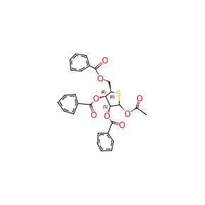 CC(=O)OC1S[C@H](COC(=O)c2ccccc2)[C@H](OC(=O)c2ccccc2)[C@@H]1OC(=O)c1ccccc1